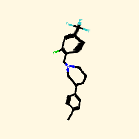 Cc1ccc(C2CCCN(Cc3ccc(C(F)(F)F)cc3Cl)C2)cc1